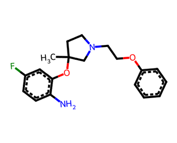 CC1(Oc2cc(F)ccc2N)CCN(CCOc2ccccc2)C1